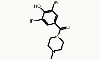 CC(C)c1cc(C(=O)N2CCN(C)CC2)cc(C(C)C)c1O